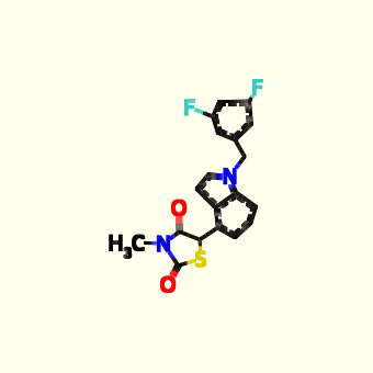 CN1C(=O)SC(c2cccc3c2ccn3Cc2cc(F)cc(F)c2)C1=O